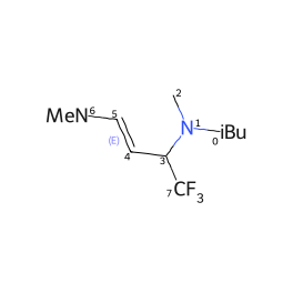 CCC(C)N(C)C(/C=C/NC)C(F)(F)F